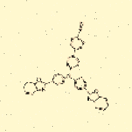 N#Cc1ccc(-c2ccc(N(c3ccc(C4=NC5C=CC=CC5O4)cc3)c3ccc(-c4nc5c(o4)CCC=C5)cc3)cc2)cc1